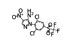 Nc1c([N+](=O)[O-])cnn1-c1c(Cl)cc(S(=O)(=O)C(F)(F)F)cc1Cl